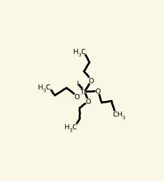 CCC[O][Ti]([I])([O]CCC)([O]CCC)[O]CCC